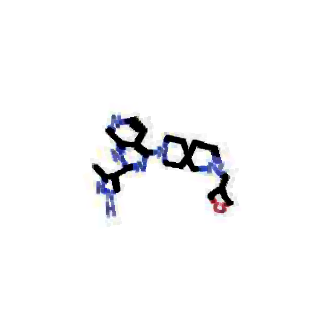 Cc1n[nH]cc1-c1nc(N2CCC3(CCN(CC4COC4)C3)CC2)c2ccncc2n1